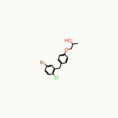 CC(O)COc1ccc(Cc2cc(Br)ccc2Cl)cc1